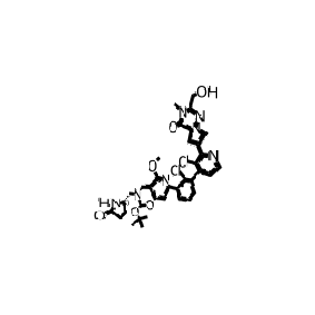 COc1nc(-c2cccc(-c3ccnc(-c4cc5c(=O)n(C)c(CO)nn5c4)c3Cl)c2Cl)ccc1CN(C[C@@H]1CCC(=O)N1)C(=O)OC(C)(C)C